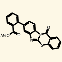 COC(=O)c1ccccc1-c1ccc2c(c1)nc1sc3ccccc3c(=O)n12